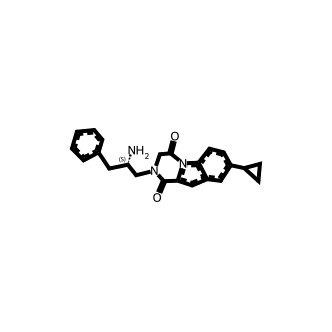 N[C@@H](Cc1ccccc1)CN1CC(=O)n2c(cc3cc(C4CC4)ccc32)C1=O